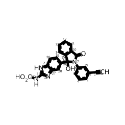 C#Cc1cccc(N2C(=O)c3ccccc3C2(O)c2ccc3[nH]c(NC(=O)O)nc3c2)c1